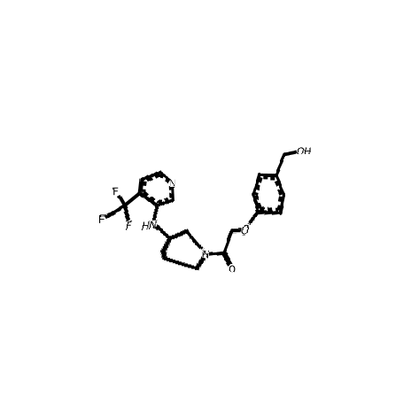 O=C(COc1ccc(CO)cc1)N1CCC(Nc2cnccc2C(F)(F)F)C1